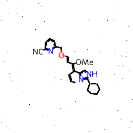 C\C=C/C(=C(\C=C\OCc1cccc(C#N)n1)OC)c1c[nH]c(C2CCCCC2)n1